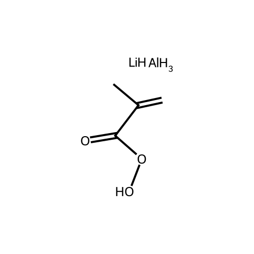 C=C(C)C(=O)OO.[AlH3].[LiH]